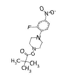 CC(C)(C)C(=O)ON1CCN(c2ccc([N+](=O)[O-])cc2F)CC1